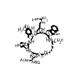 CC(=O)O.CCCC[C@H](NC(C)=O)C(=O)N[C@H]1CC(=O)NCCCC[C@@H](C(=O)O)NC(=O)[C@H](Cc2c[nH]c3ccccc23)NC(=O)[C@H](CCCNC(=N)N)NC(=O)[C@@H](Cc2ccccc2)NC(=O)[C@H](Cc2c[nH]cn2)NC1=O